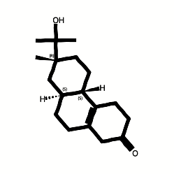 CC(C)(O)[C@]1(C)CC[C@@H]2C3=C(CC[C@H]2C1)CC(=O)CC3